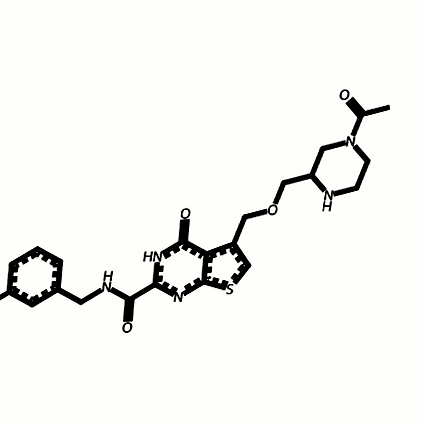 CC(=O)N1CCNC(COCc2csc3nc(C(=O)NCc4cccc(Cl)c4)[nH]c(=O)c23)C1